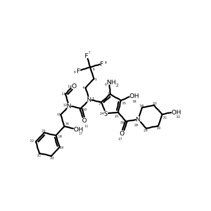 Nc1c(N(CCC(F)(F)F)C(=O)N(C=O)CC(O)C2=CCCC=C2)sc(C(=O)N2CCC(O)CC2)c1O